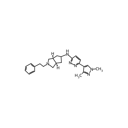 Cc1nn(C)cc1-c1ccc(NC2C[C@@H]3CN(CCc4ccccc4)C[C@@H]3C2)nn1